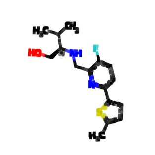 Cc1ccc(-c2ccc(F)c(CN[C@@H](CO)C(C)C)n2)s1